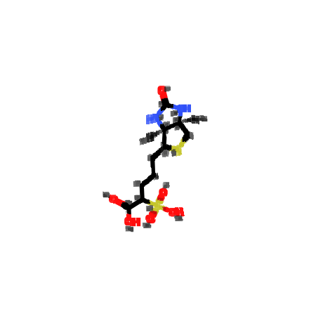 O=C1N[C@H]2[C@H](CS[C@H]2CCCC(C(=O)O)S(=O)(=O)O)N1